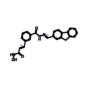 O=C(/C=C/c1cccc(C(=O)N/N=C/c2ccc3c(c2)Cc2ccccc2-3)c1)NO